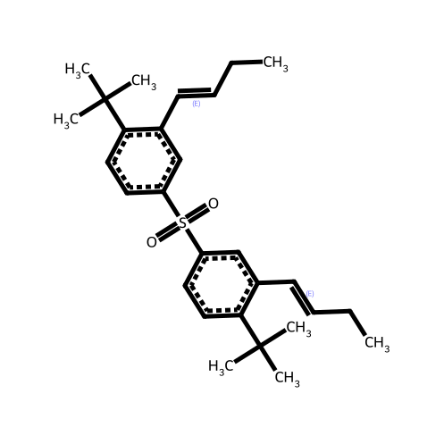 CC/C=C/c1cc(S(=O)(=O)c2ccc(C(C)(C)C)c(/C=C/CC)c2)ccc1C(C)(C)C